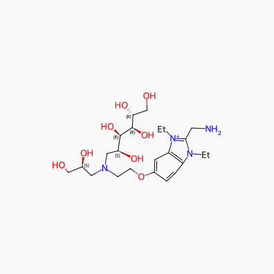 CCn1c(CN)[n+](CC)c2cc(OCCN(C[C@H](O)CO)C[C@H](O)[C@@H](O)[C@H](O)[C@H](O)CO)ccc21